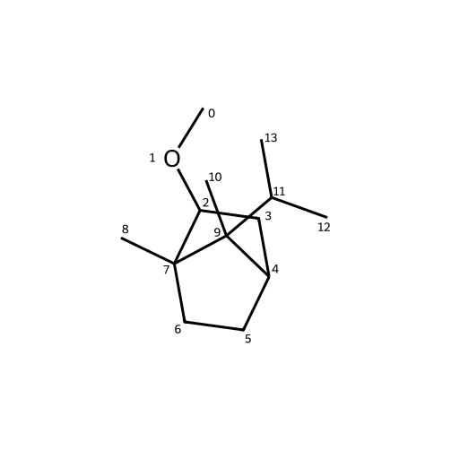 COC1CC2CCC1(C)C2(C)C(C)C